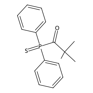 CC(C)(C)C(=O)P(=S)(c1ccccc1)c1ccccc1